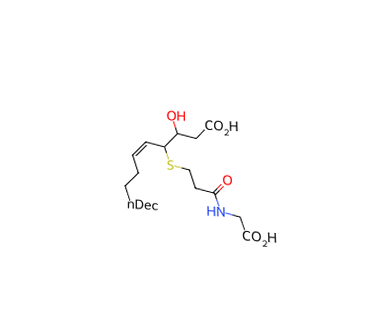 CCCCCCCCCCCC/C=C\C(SCCC(=O)NCC(=O)O)C(O)CC(=O)O